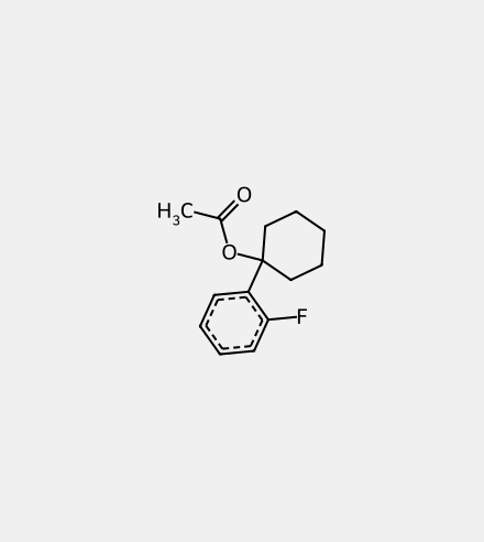 CC(=O)OC1(c2ccccc2F)CCCCC1